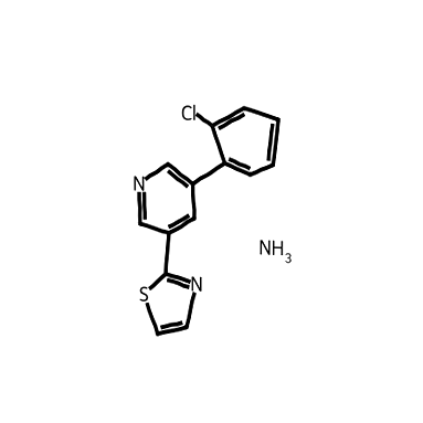 Clc1ccccc1-c1cncc(-c2nccs2)c1.N